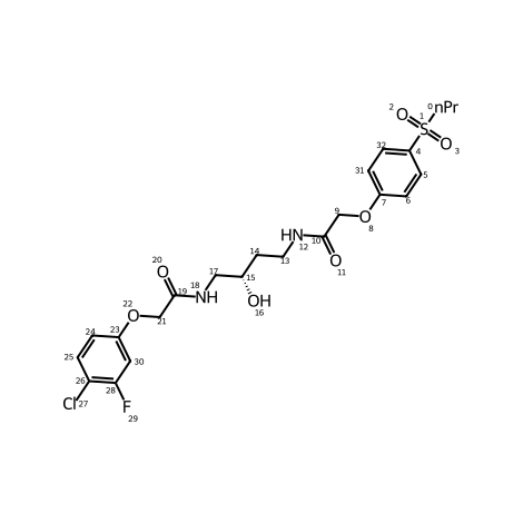 CCCS(=O)(=O)c1ccc(OCC(=O)NCC[C@H](O)CNC(=O)COc2ccc(Cl)c(F)c2)cc1